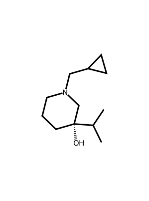 CC(C)[C@@]1(O)CCCN(CC2CC2)C1